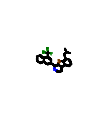 CC(C)Cc1cccc2c1sc1c(-c3cc(C(F)(F)F)c4ccccc4c3)nccc12